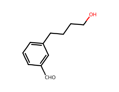 O=Cc1cccc(CCCCO)c1